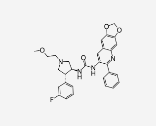 COCCN1C[C@@H](NC(=O)Nc2cc3cc4c(cc3nc2-c2ccccc2)OCO4)[C@H](c2cccc(F)c2)C1